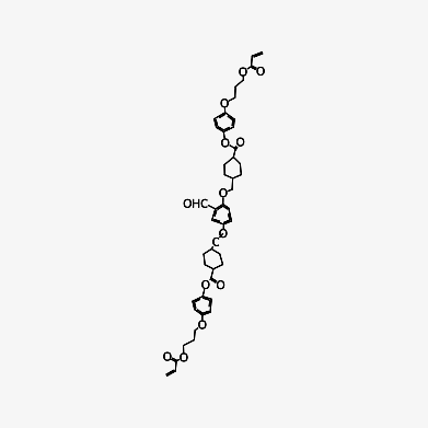 C=CC(=O)OCCCOc1ccc(OC(=O)C2CCC(COc3ccc(OCC4CCC(C(=O)Oc5ccc(OCCCOC(=O)C=C)cc5)CC4)c(C=O)c3)CC2)cc1